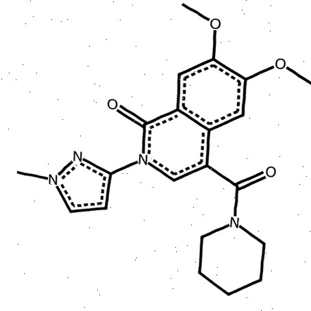 COc1cc2c(C(=O)N3CCCCC3)cn(-c3ccn(C)n3)c(=O)c2cc1OC